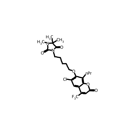 CCCc1c(OCCCCCN2C(=O)N(C)C(C)(C)C2=O)c(Cl)cc2c(C(F)(F)F)cc(=O)oc12